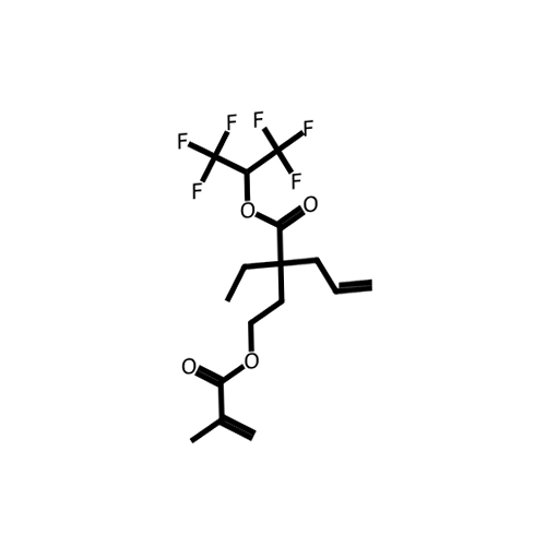 C=CCC(CC)(CCOC(=O)C(=C)C)C(=O)OC(C(F)(F)F)C(F)(F)F